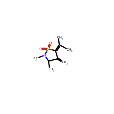 BN1C(C)C(=C)C(=C(C)C)S1(=O)=O